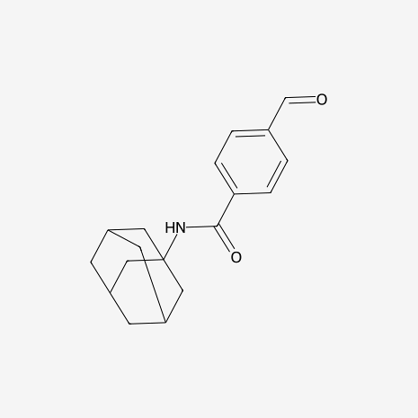 O=Cc1ccc(C(=O)NC23CC4CC(CC(C4)C2)C3)cc1